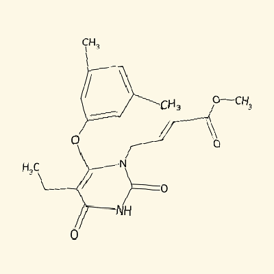 CCc1c(Oc2cc(C)cc(C)c2)n(CC=CC(=O)OC)c(=O)[nH]c1=O